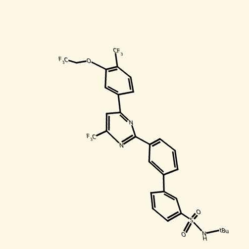 CC(C)(C)NS(=O)(=O)c1cccc(-c2cccc(-c3nc(-c4ccc(C(F)(F)F)c(OCC(F)(F)F)c4)cc(C(F)(F)F)n3)c2)c1